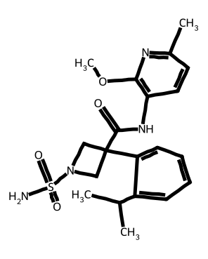 COc1nc(C)ccc1NC(=O)C1(c2ccccc2C(C)C)CN(S(N)(=O)=O)C1